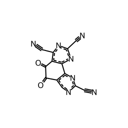 N#Cc1ncc2c(n1)-c1nc(C#N)nc(C#N)c1C(=O)C2=O